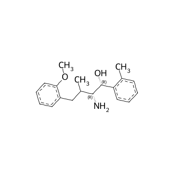 COc1ccccc1CC(C)[C@@H](N)[C@H](O)c1ccccc1C